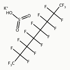 FC(F)(F)C(F)(F)C(F)(F)C(F)(F)C(F)(F)C(F)(F)C(F)(F)C(F)(F)F.O=[S-](=O)O.[K+]